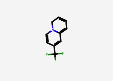 FC(F)(F)C1=CC2=CC=C[CH]N2C=C1